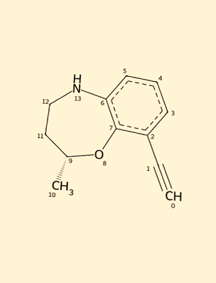 C#Cc1cccc2c1O[C@H](C)CCN2